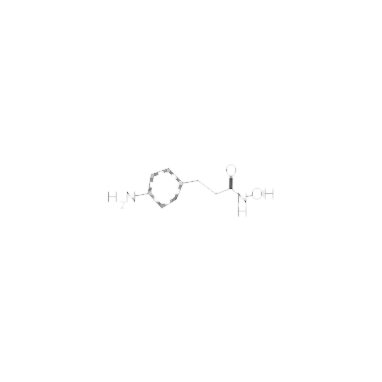 Nc1ccc(CCC(=O)NO)cc1